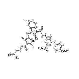 CCN(CC)CCNC(=O)c1c(C)[nH]c(/C=C2\C(=O)N(C(=O)CC[C@H](NC(=O)[C@@H](C)N)C(=O)NCc3ccc(OC)cc3)c3ccc(F)cc32)c1C